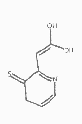 OC(O)=CC1=NC=CCC1=S